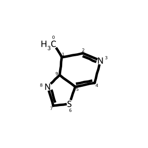 CC1C=NC=C2SC=NC21